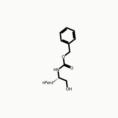 CCCCC[C@@H](CO)NC(=O)OCc1ccccc1